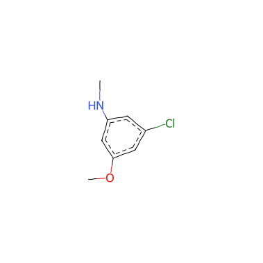 CNc1cc(Cl)cc(OC)c1